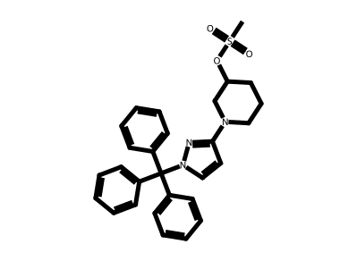 CS(=O)(=O)OC1CCCN(c2ccn(C(c3ccccc3)(c3ccccc3)c3ccccc3)n2)C1